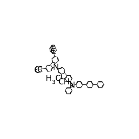 CC1(C)c2cc(N(c3ccccc3)c3ccc(-c4ccc(-c5ccccc5)cc4)cc3)ccc2-c2ccc(-n3c4ccc(C56CCC(CC5)CC6)cc4c4cc(C56CCC(CC5)CC6)ccc43)cc21